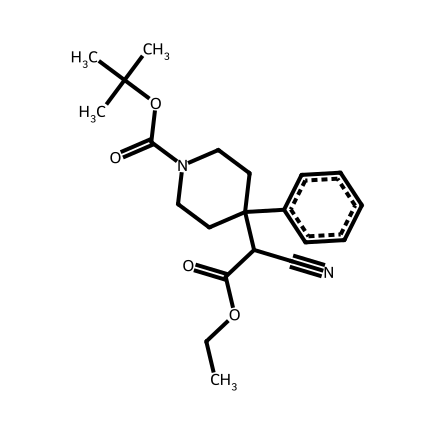 CCOC(=O)C(C#N)C1(c2ccccc2)CCN(C(=O)OC(C)(C)C)CC1